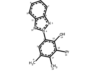 Cc1cc(-n2nc3ccccc3n2)c(O)c(C(C)C)c1C